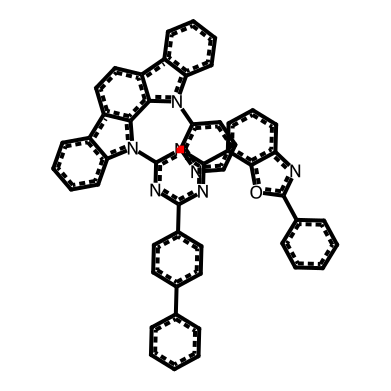 c1ccc(-c2ccc(-c3nc(-c4cccc5nc(-c6ccccc6)oc45)nc(-n4c5ccccc5c5ccc6c7ccccc7n(-c7cccnc7)c6c54)n3)cc2)cc1